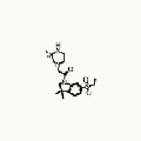 CCS(=O)(=O)c1ccc2c(c1)N(C(=O)CN1CCN[C@H](C)C1)CC2(C)C